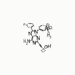 Cl.Cn1cc(-n2c(-c3cccc(F)c3)nc3c(N)nc(C#CC4(O)CCC4)nc32)ccc1=O